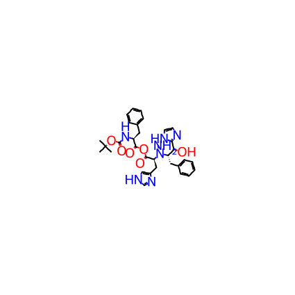 CC(C)(C)OC(=O)N[C@@H](Cc1ccccc1)C(=O)OC(=O)[C@H](Cc1c[nH]cn1)N(N)[C@@H](Cc1ccccc1)[C@H](O)c1ncc[nH]1